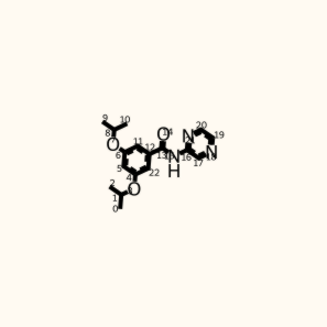 CC(C)Oc1cc(OC(C)C)cc(C(=O)Nc2cnccn2)c1